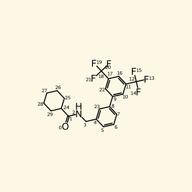 O=C(NCc1cccc(-c2cc(C(F)(F)F)cc(C(F)(F)F)c2)c1)C1CCCCC1